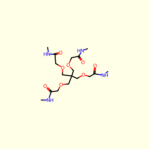 CNC(=O)COCC(COCC(=O)NC)(COCC(=O)NC)COCC(=O)NC